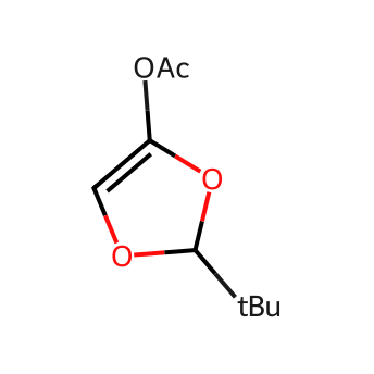 CC(=O)OC1=COC(C(C)(C)C)O1